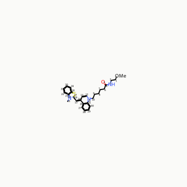 COCCNC(=O)CCCCCN1C=CC(=Cc2sc3ccccc3[n+]2C)c2ccccc21